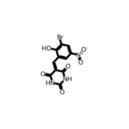 O=C1NC(=O)C(=Cc2cc([N+](=O)[O-])cc(Br)c2O)C(=O)N1